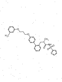 Cc1cccc(OCCCOc2ccc(-c3ccccc3CC(C)C(=O)NS(=O)(=O)c3cccs3)cc2)c1